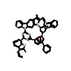 C=C/C=C\c1c(C)c2cc3c4ccccc4n(-c4nc(-c5ccccc5)nc(-c5cccc6c(/C=C\C)c(C)oc56)n4)c3cc2n1-c1cc(-c2cccc(-c3ccccc3)c2)cc2c1oc1ccccc12